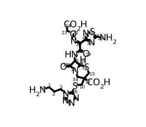 NCCCn1nnnc1SCC1(C(=O)O)CS[C@@H]2C(NC(=O)C(=NOCC(=O)O)c3nsc(N)n3)C(=O)N2C1